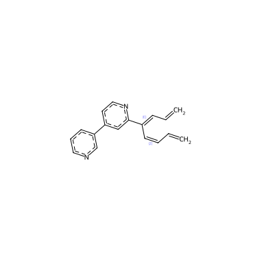 C=C/C=C\C(=C/C=C)c1cc(-c2cccnc2)ccn1